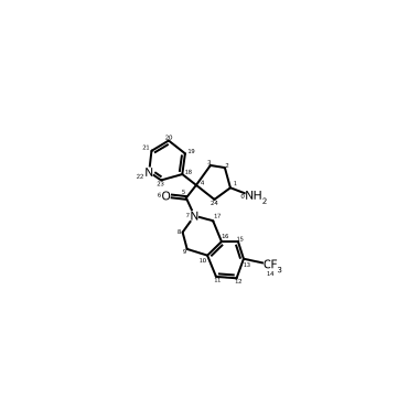 NC1CCC(C(=O)N2CCc3ccc(C(F)(F)F)cc3C2)(c2cccnc2)C1